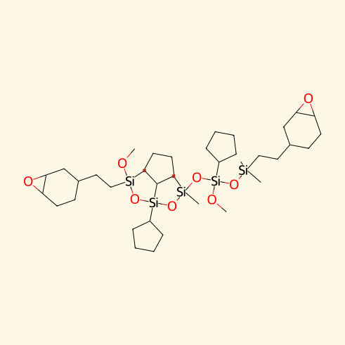 CO[Si](C)(CCC1CCC2OC2C1)O[Si](O[Si](C)(C)O[Si](OC)(O[Si](C)(C)CCC1CCC2OC2C1)C1CCCC1)(C1CCCC1)C1CCCC1